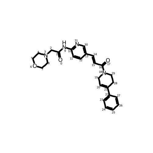 O=C(CN1CCOCC1)Nc1ccc(C=CC(=O)N2CC=C(c3ccccc3)CC2)cn1